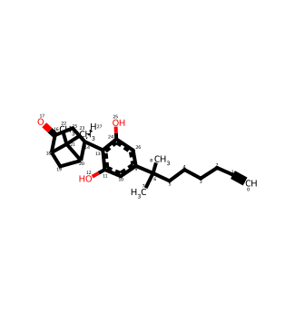 C#CCCCCC(C)(C)c1cc(O)c([C@@H]2CC(=O)C3CC2C3(C)C)c(O)c1